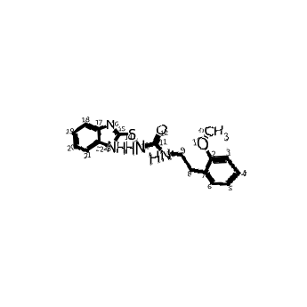 COc1ccccc1CCNC(=O)NSc1nc2ccccc2[nH]1